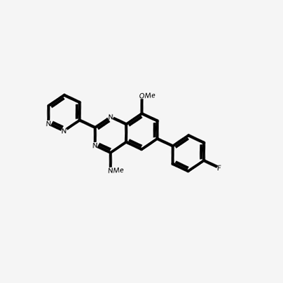 CNc1nc(-c2cccnn2)nc2c(OC)cc(-c3ccc(F)cc3)cc12